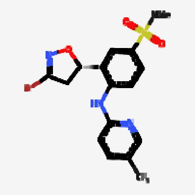 CNS(=O)(=O)c1ccc(Nc2ccc(C(F)(F)F)cn2)c([C@@H]2CC(Br)=NO2)c1